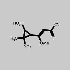 COC(=CC(=O)C#N)C1C(C(=O)O)C1(C)C